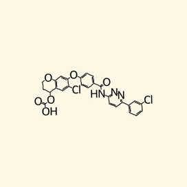 O=C(O)OC1CCOc2cc(Oc3ccc(C(=O)Nc4ccc(-c5cccc(Cl)c5)nn4)cc3)c(Cl)cc21